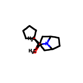 CC1(C)CC2CCC(C1)N2C(=O)C1CCCC1